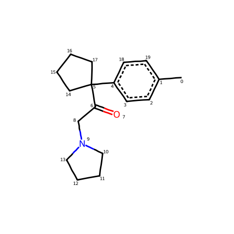 Cc1ccc(C2(C(=O)CN3CCCC3)CCCC2)cc1